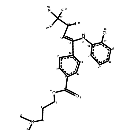 CN(C)CCCOC(=O)c1ccc(/C(=C/C(I)C(F)(F)F)Nc2ccccc2Cl)cc1